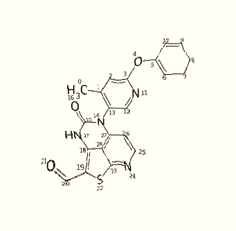 Cc1cc(OC2=CCCC=C2)ncc1N1C(=O)Nc2c(C=O)sc3nccc1c23